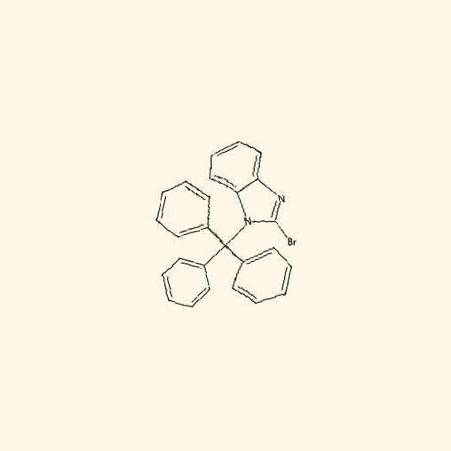 Brc1nc2ccccc2n1C(c1ccccc1)(c1ccccc1)c1ccccc1